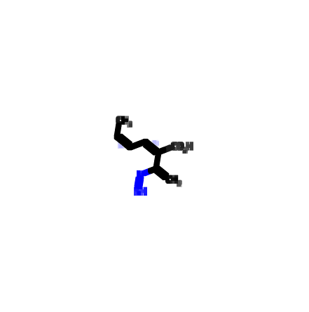 C=C(N=N)/C(=C\C=C/C)C(=O)O